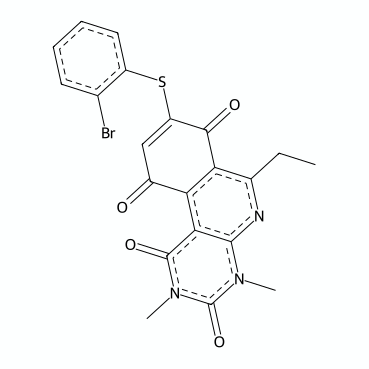 CCc1nc2c(c3c1C(=O)C(Sc1ccccc1Br)=CC3=O)c(=O)n(C)c(=O)n2C